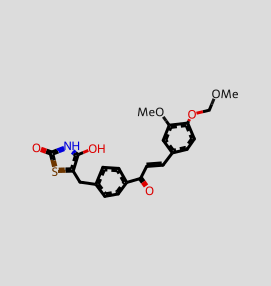 COCOc1ccc(C=CC(=O)c2ccc(Cc3sc(=O)[nH]c3O)cc2)cc1OC